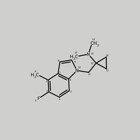 Cc1c(F)ccc2c1ccn2CC1(N(C)C)CC1